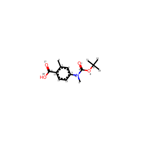 Cc1cc(N(C)C(=O)OC(C)(C)C)ccc1C(=O)O